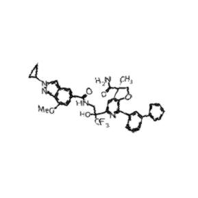 COc1cc(C(=O)NCC(O)(c2cc3c(c(-c4cccc(-c5ccccc5)c4)n2)OC[C@]3(C)C(N)=O)C(F)(F)F)cc2cn(C3CC3)nc12